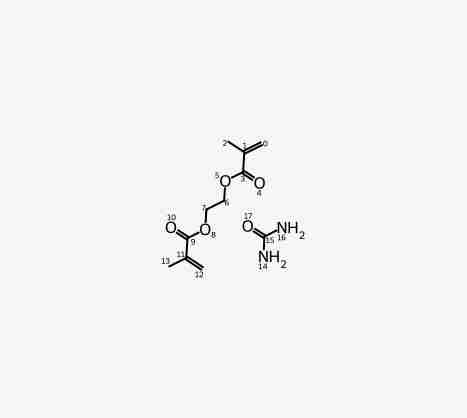 C=C(C)C(=O)OCCOC(=O)C(=C)C.NC(N)=O